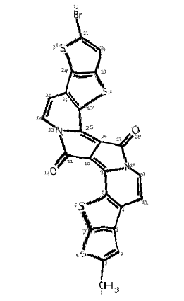 Cc1cc2c3c(sc2s1)C1=C2C(=O)N4C=Cc5c(sc6cc(Br)sc56)C4=C2C(=O)N1C=C3